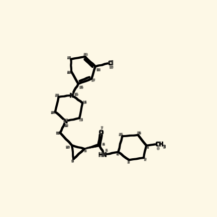 CC1CCC(NC(=O)[C@H]2CC2CN2CCN(C3=CC(Cl)=CCC3)CC2)CC1